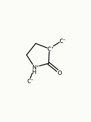 [CH2-][C+]1CC[NH+]([CH2-])C1=O